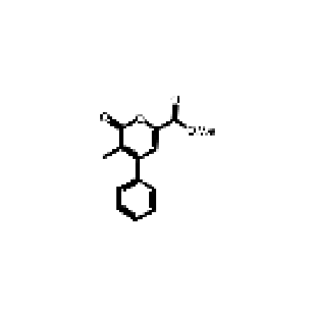 COC(=O)c1cc(-c2ccccc2)c(C)c(=O)o1